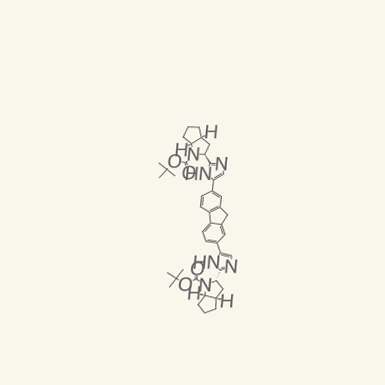 CC(C)(C)OC(=O)N1[C@@H]2CCC[C@@H]2C[C@H]1c1ncc(-c2ccc3c(c2)Cc2cc(-c4cnc([C@@H]5C[C@@H]6CCC[C@@H]6N5C(=O)OC(C)(C)C)[nH]4)ccc2-3)[nH]1